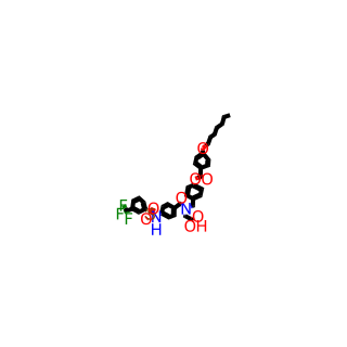 CCCCCCCOc1ccc(C(=O)Oc2ccc(CN(CC(=O)O)C(=O)c3ccc(NS(=O)(=O)c4cccc(C(F)(F)F)c4)cc3)cc2)cc1